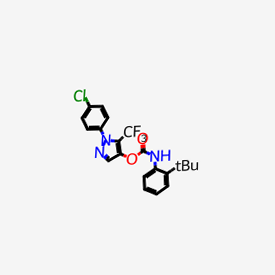 CC(C)(C)c1ccccc1NC(=O)Oc1cnn(-c2ccc(Cl)cc2)c1C(F)(F)F